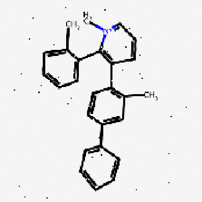 Cc1cc(-c2ccccc2)ccc1-c1ccc[n+](C)c1-c1ccccc1C